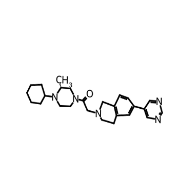 C[C@@H]1CN(C(=O)CN2CCc3cc(-c4cncnc4)ccc3C2)CCN1C1CCCCC1